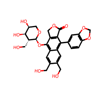 O=C1OCc2c1c(-c1ccc3c(c1)OCO3)c1cc(CO)c(CO)cc1c2O[C@@H]1OC[C@H](O)[C@H](O)[C@H]1CO